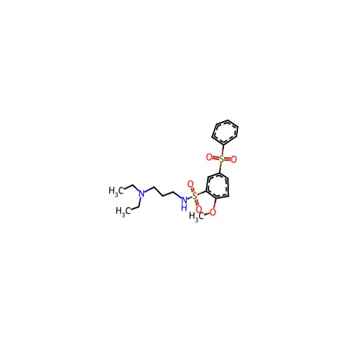 CCN(CC)CCCNS(=O)(=O)c1cc(S(=O)(=O)c2ccccc2)ccc1OC